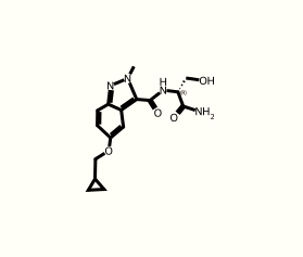 Cn1nc2ccc(OCC3CC3)cc2c1C(=O)N[C@H](CO)C(N)=O